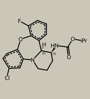 CC(C)OC(=O)N[C@H]1CCCN2c3cc(Cl)ccc3Oc3c(F)cccc3[C@@H]12